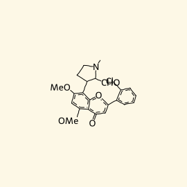 COc1cc(OC)c2c(=O)cc(-c3ccccc3Cl)oc2c1C1CCN(C)C1C=O